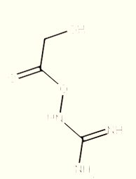 N=C(N)NOC(=O)CO